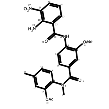 COc1cc(C(=O)N(C)c2ccc(C)cc2OC(C)=O)ccc1NC(=O)c1cccc([N+](=O)[O-])c1N